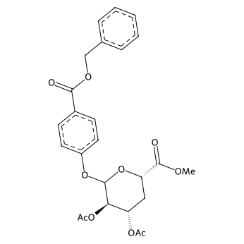 COC(=O)[C@@H]1C[C@H](OC(C)=O)[C@@H](OC(C)=O)C(Oc2ccc(C(=O)OCc3ccccc3)cc2)O1